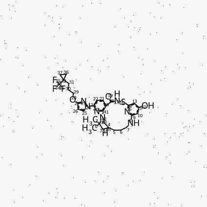 CC1(C)C[C@@H]2CCCNc3cc(O)cc(n3)SNC(=O)c3ccc(-n4ccc(OCCCC5(C(F)(F)F)CC5)n4)nc3N1C2